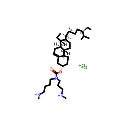 CC[C@H](CC[C@@H](C)[C@H]1CC[C@H]2[C@@H]3CC=C4C[C@@H](OC(=O)N(CCCCNC)CCCNC)CC[C@]4(C)[C@H]3CC[C@]12C)C(C)C.Cl.Cl